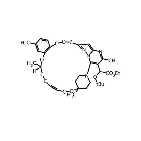 CCOC(=O)[C@@H](OC(C)(C)C)c1c(C)nc2cc3nn2c1N1CCC(C)(CC1)OCC=CCC[C@H](C)Oc1cc(C)ccc1COC3